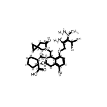 CN(N)/C(=C(\N)COc1ccc(Br)c2c1C(CN1CC3(CC3)CC1=O)N(C(=O)[C@@H]1CCCC[C@]1(C)C(=O)O)CC2)C(F)F